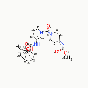 COC(=O)NC1CCN(C(=O)N2CCC[C@H](NC(=O)[C@@]34CC5CC(C3)C(O)[C@H](C5)C4)C2)CC1